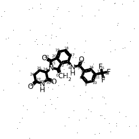 C=C1c2c(NC(=O)c3cccc(C(F)(F)F)c3)cccc2C(=O)N1C1CCC(=O)NC1=O